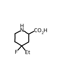 CCC1(F)CCNC(C(=O)O)C1